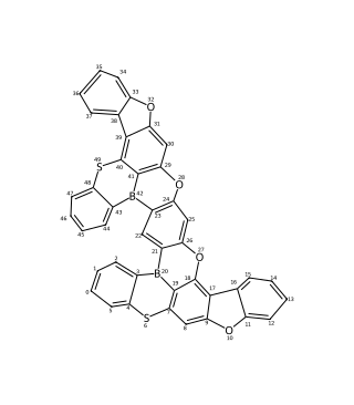 c1ccc2c(c1)Sc1cc3oc4ccccc4c3c3c1B2c1cc2c(cc1O3)Oc1cc3oc4ccccc4c3c3c1B2c1ccccc1S3